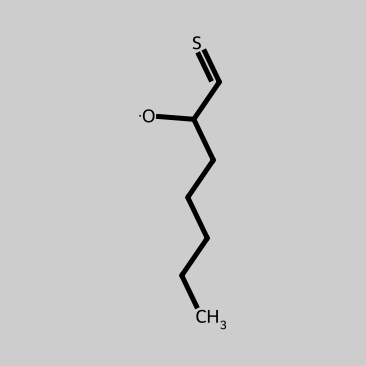 CCCCCC([O])C=S